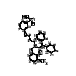 CP(=O)(O)c1cccc(OCCCN(Cc2cccc(C(F)(F)F)c2Cl)CC(c2ccccc2)c2ccccc2)c1